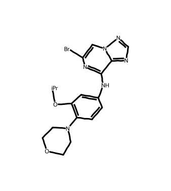 CC(C)Oc1cc(Nc2nc(Br)cn3ncnc23)ccc1N1CCOCC1